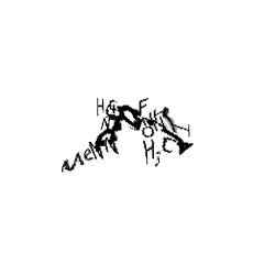 CNc1cc2nc(C)c(-c3cc(NC(=O)NCCC4(C)CC4)c(F)cc3C)cc2cn1